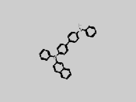 c1ccc(Nc2ccc(-c3ccc(N(c4ccccc4)c4ccc5ccccc5c4)cc3)cc2)cc1